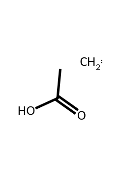 CC(=O)O.[CH2]